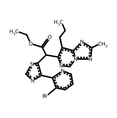 CCCc1c(C(C(=O)OCC)c2scnc2-c2ncccc2Br)ncn2nc(C)nc12